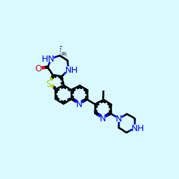 Cc1cc(N2CCNCC2)ncc1-c1ccc2c(ccc3sc4c(c32)NC[C@@H](C)NC4=O)n1